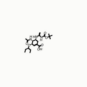 C=C(NC(=O)OC(C)(C)C)N[C@H]1CC(C(=O)O)=C[C@@H](OC(CC)CC)[C@@H]1NC(C)=O